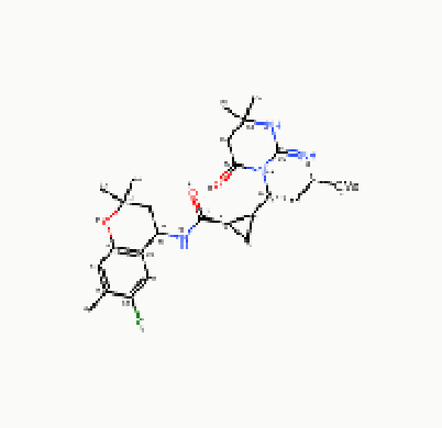 COCC[C@H](C1C[C@H]1C(=O)N[C@@H]1CC(C)(C)Oc2cc(C)c(Cl)cc21)N1C(=N)NC(C)(C)CC1=O